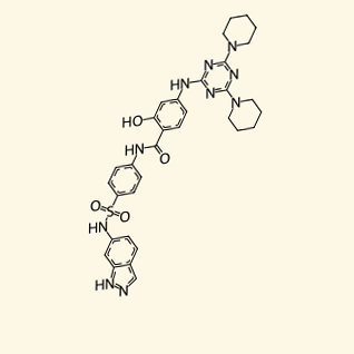 O=C(Nc1ccc(S(=O)(=O)Nc2ccc3cn[nH]c3c2)cc1)c1ccc(Nc2nc(N3CCCCC3)nc(N3CCCCC3)n2)cc1O